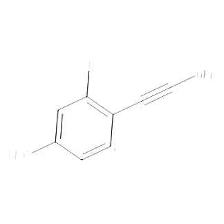 CCCC#Cc1ccc(C)cc1I